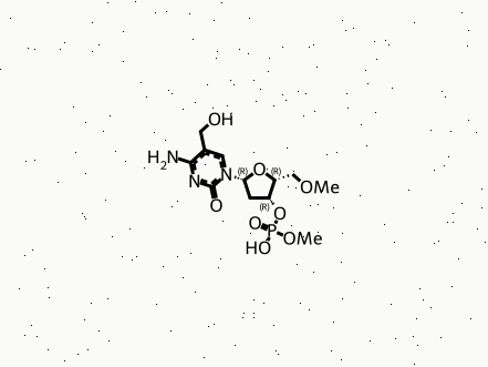 COC[C@H]1O[C@@H](n2cc(CO)c(N)nc2=O)C[C@H]1OP(=O)(O)OC